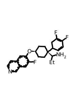 CCC(N)[C@]1(C2C=CC(F)=C(F)C2)CC[C@H](Oc2cc3ccncc3cc2F)CC1